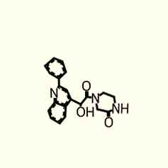 O=C1CN(C(=O)C(O)c2cc(-c3ccccc3)nc3ccccc23)CCN1